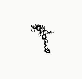 COC(=O)c1ccc2nc(C)n(-c3ccc(OCCCN4CCCC4)cc3OCCF)c(=O)c2c1